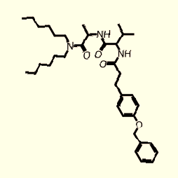 CCCCCCN(CCCCCC)C(=O)C(C)NC(=O)C(NC(=O)CCc1ccc(OCc2ccccc2)cc1)C(C)C